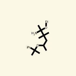 CCOC(C)(N)C(C)(C)CC(C)OC(C)(C)C(C)C